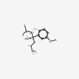 COc1cccc([C@](O)(CCN)[C@@H](C)C(C)C)c1